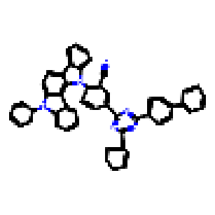 N#Cc1cc(-c2nc(C3=CCCC=C3)nc(-c3ccc(-c4ccccc4)cc3)n2)ccc1-n1c2ccccc2c2ccc3c(c4ccccc4n3C3C=CC=CC3)c21